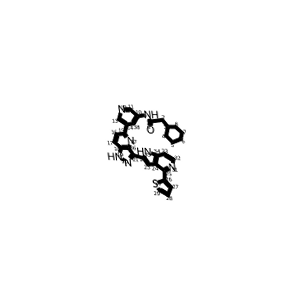 O=C(CC1CCCCC1)Nc1cncc(-c2ccc3[nH]nc(-c4cc5c(-c6cccs6)nccc5[nH]4)c3n2)c1